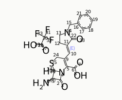 N[C@@H]1C(=O)N2C(C(=O)O)=C(/C=C3\CCN(Cc4ccccc4)C3=O)CS[C@H]12.O=C(O)C(F)(F)F